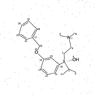 CC(C)[C@](O)(CCN(C)C)c1cccc(OCc2ccccc2)c1